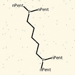 CCCCCP(CCCCC)CCCCCP(CCCCC)CCCCC